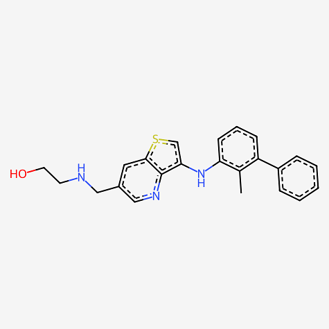 Cc1c(Nc2csc3cc(CNCCO)cnc23)cccc1-c1ccccc1